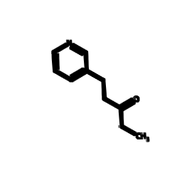 C[CH]C(=O)CCc1cccnc1